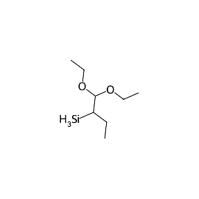 CCOC(OCC)C([SiH3])CC